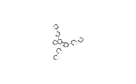 c1ccc(-c2ccc(-c3ccc4c(c3)c3cc(-c5ccc(-c6ccccn6)nc5)c5ccccc5c3n4-c3ccc(-c4ccccn4)nc3)cn2)nc1